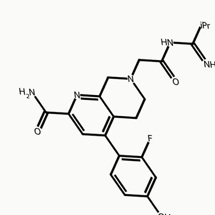 CC(C)C(=N)NC(=O)CN1CCc2c(-c3ccc(O)cc3F)cc(C(N)=O)nc2C1